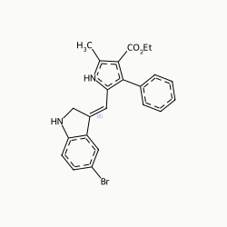 CCOC(=O)c1c(C)[nH]c(/C=C2\CNc3ccc(Br)cc32)c1-c1ccccc1